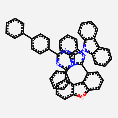 c1ccc(-c2ccc(-c3nc(-c4cccc5oc6cccc(-c7nc8ccccc8n7-c7ccccc7)c6c45)nc(-n4c5ccccc5c5ccccc54)n3)cc2)cc1